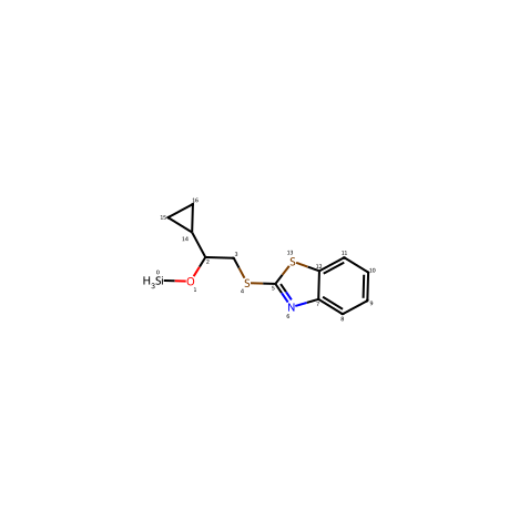 [SiH3]OC(CSc1nc2ccccc2s1)C1CC1